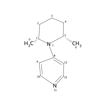 C[C@@H]1CCC[C@H](C)N1c1ccncc1